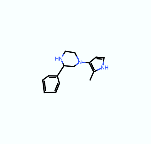 Cc1[nH]ccc1N1CCNC(c2ccccc2)C1